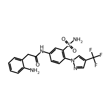 Nc1ccccc1CC(=O)Nc1ccc(-n2cc(C(F)(F)F)cn2)c(S(N)(=O)=O)c1